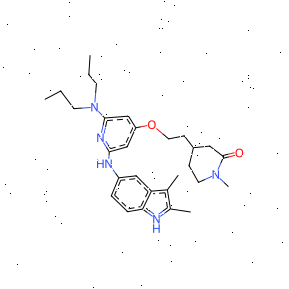 CCCN(CCC)c1cc(OCCC2CCN(C)C(=O)C2)cc(Nc2ccc3[nH]c(C)c(C)c3c2)n1